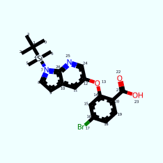 CC(C)(C)[Si](C)(C)n1ccc2cc(Oc3cc(Br)ccc3C(=O)O)cnc21